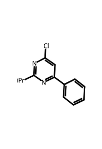 CC(C)c1nc(Cl)cc(-c2ccccc2)n1